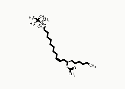 CCCCCC[C@H](C/C=C\CCCCCCCCO[Si](C)(C)C(C)(C)C)OC(C)=O